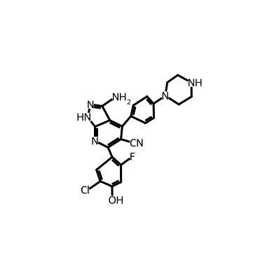 N#Cc1c(-c2cc(Cl)c(O)cc2F)nc2[nH]nc(N)c2c1-c1ccc(N2CCNCC2)cc1